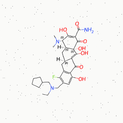 CCN(Cc1cc(O)c2c(c1F)C[C@H]1C[C@H]3[C@H](N(C)C)C(O)=C(C(N)=O)C(=O)[C@@]3(O)C(O)=C1C2=O)CC1CCCC1